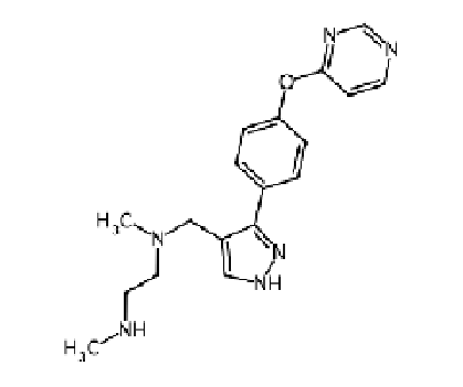 CNCCN(C)Cc1c[nH]nc1-c1ccc(Oc2ccncn2)cc1